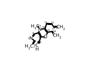 C#CC1=C(/C=N\C=C)N(C)C(/C=C\C=C)=C(C=C)O1